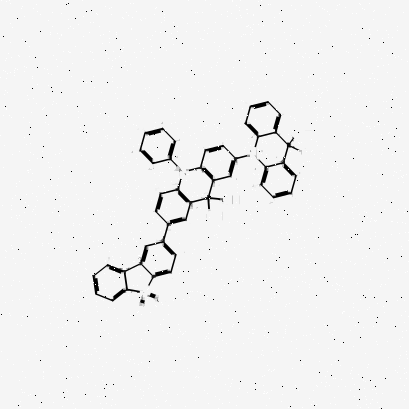 CC1(C)c2ccccc2N(c2ccc3c(c2)C(C)(C)c2cc(-c4ccc5c(c4)-c4ccccc4S5(=O)=O)ccc2N3c2ccccc2)c2ccccc21